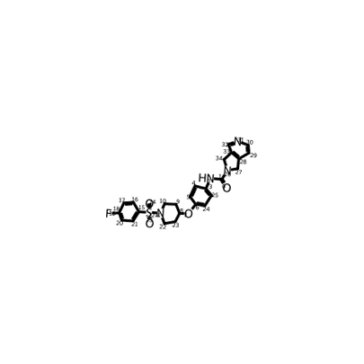 O=C(Nc1ccc(OC2CCN(S(=O)(=O)c3ccc(F)cc3)CC2)cc1)N1Cc2ccncc2C1